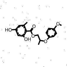 COc1ccc(OC(C)COC(=O)c2c(C)cc(O)cc2O)cc1